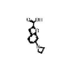 O=C(O)c1cc2ccc(N3CCC3)cc2o1